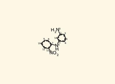 Nc1cccc(Nc2ccccc2[N+](=O)[O-])c1